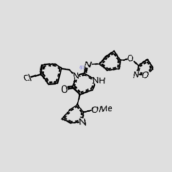 COc1ncccc1-c1c[nH]/c(=N\c2ccc(Oc3ccon3)cc2)n(Cc2ccc(Cl)cc2)c1=O